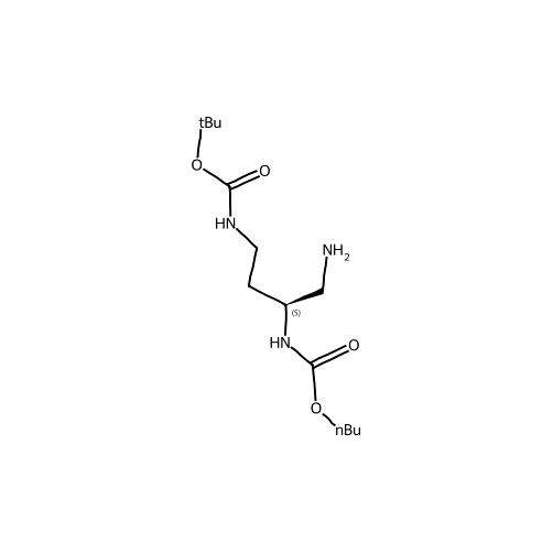 CCCCOC(=O)N[C@H](CN)CCNC(=O)OC(C)(C)C